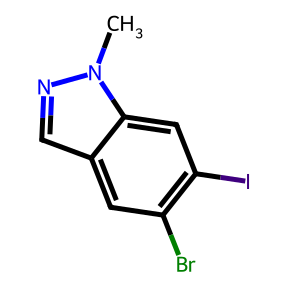 Cn1ncc2cc(Br)c(I)cc21